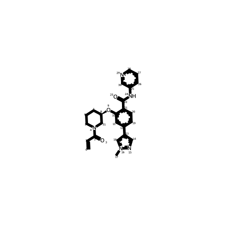 C=CC(=O)N1CCC[C@@H](Oc2cc(-c3cnn(C)c3)ccc2C(=O)Nc2cccnc2)C1